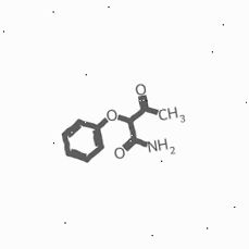 CC(=O)C(Oc1ccccc1)C(N)=O